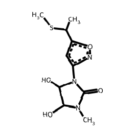 CSC(C)c1cc(N2C(=O)N(C)C(O)C2O)no1